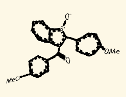 COc1ccc(C(=O)c2c(-c3ccc(OC)cc3)[s+]([O-])c3ccccc23)cc1